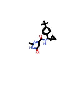 Cc1nc(C(=O)NC(c2ccc(C(C)(C)C)cc2)C2(C)CC2)cc(=O)[nH]1